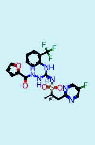 C[C@H](Cc1ncc(F)cn1)S(=O)(=O)/N=C(\NNC(=O)c1ccco1)Nc1ccccc1C(F)(F)F